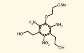 COCCOc1c(N)c(CCO)c([N+](=O)[O-])c(CCO)c1N